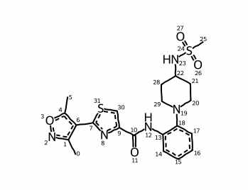 Cc1noc(C)c1-c1nc(C(=O)Nc2ccccc2N2CCC(NS(C)(=O)=O)CC2)cs1